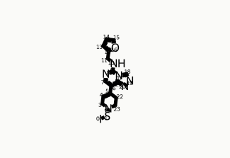 ISN1CC=C(c2cnc(NCc3ccco3)n3cnnc23)CC1